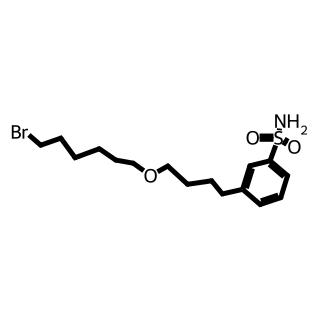 NS(=O)(=O)c1cccc(CCCCOCCCCCCBr)c1